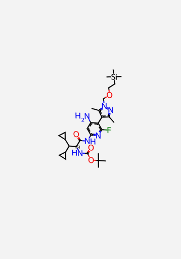 Cc1nn(COCC[Si](C)(C)C)c(C)c1-c1c(N)cc(NC(=O)[C@@H](NC(=O)OC(C)(C)C)C(C2CC2)C2CC2)nc1F